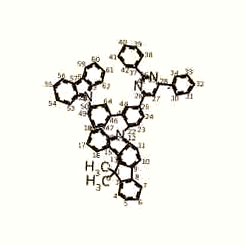 CC1(C)c2ccccc2-c2ccc3c(c21)c1ccccc1n3-c1ccc(-c2cc(-c3ccccc3)nc(-c3ccccc3)n2)cc1-c1cccc(-n2c3ccccc3c3ccccc32)c1